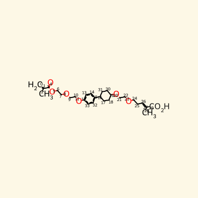 C=C(C)C(=O)OCCOCCOc1ccc(C2CCC(OCCOCCC=C(C)C(=O)O)CC2)cc1